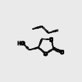 CCCC.O=C1OCC(CO)O1